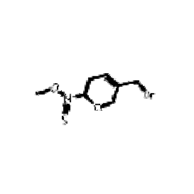 CO[N+](=S)C1CC=C(CBr)CO1